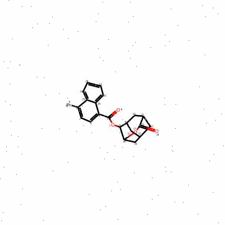 CC(C)c1ccc(C(=O)OC2C3CC4CC(C3)C(=O)OC2C4)c2ccccc12